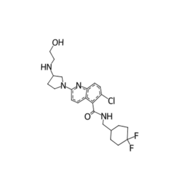 O=C(NCC1CCC(F)(F)CC1)c1c(Cl)ccc2nc(N3CCC(NCCO)C3)ccc12